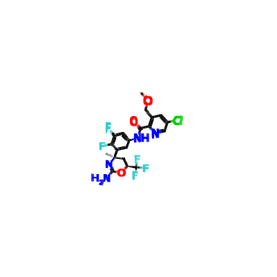 COCc1cc(Cl)cnc1C(=O)Nc1cc(F)c(F)c([C@@]2(C)C[C@@H](C(F)(F)F)OC(N)=N2)c1